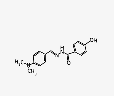 CN(C)c1ccc(C=NNC(=O)c2ccc(O)cc2)cc1